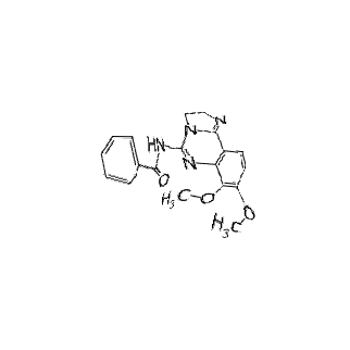 COc1ccc2c(c1OC)N=C(NC(=O)c1ccccc1)N1CCN=C21